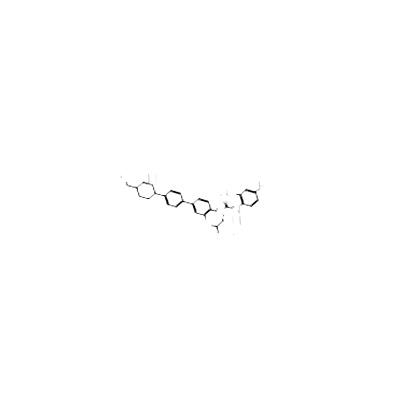 CCCC1CN(C(=O)Nc2ccc(F)cc2C(F)(F)F)c2ccc(-c3ccc(C4CCC(CC(=O)O)CC4)cc3)cc2O1